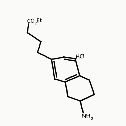 CCOC(=O)CCCc1ccc2c(c1)CC(N)CC2.Cl